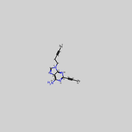 [2H]C#CCCn1cnc2c(N)nc(C#CC(C)C)nc21